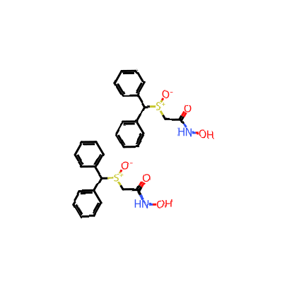 O=C(C[S+]([O-])C(c1ccccc1)c1ccccc1)NO.O=C(C[S+]([O-])C(c1ccccc1)c1ccccc1)NO